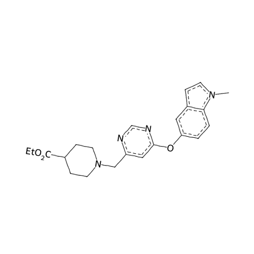 CCOC(=O)C1CCN(Cc2cc(Oc3ccc4c(ccn4C)c3)ncn2)CC1